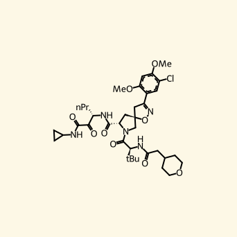 CCC[C@H](NC(=O)[C@@H]1C[C@]2(CC(c3cc(Cl)c(OC)cc3OC)=NO2)CN1C(=O)[C@@H](NC(=O)CC1CCOCC1)C(C)(C)C)C(=O)C(=O)NC1CC1